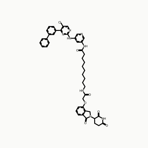 O=C(COc1cccc2c1CN(C1CCC(=O)NC1=O)C2=O)NCCCCCCCCCC(=O)Nc1cncc(Nc2ncc(Cl)c(-c3cccc(-c4ccccc4)c3)n2)c1